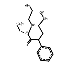 CC(C)(C)CCN[C@@H](CC(=O)O)C(=O)C(CCNO)c1ccccc1